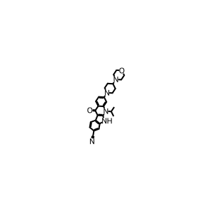 CC(C)n1c2cc(N3CCC(N4CCOCC4)CC3)ccc2c(=O)c2c3ccc(C#N)cc3[nH]c21